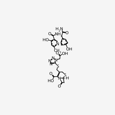 Cc1cc(O)c(C(N)=O)cn1.NC(=O)Cc1ccc(O)cc1.O=C(O)Cn1nnnc1SCC1=C(C(=O)O)N2C(=O)C[C@@H]2SC1